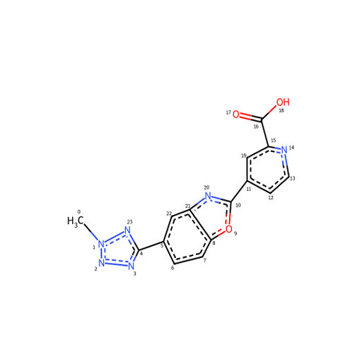 Cn1nnc(-c2ccc3oc(-c4ccnc(C(=O)O)c4)nc3c2)n1